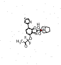 CC(=O)C(F)(F)Oc1ccc(-c2cscn2)c2oc(N3CC4CCC(C3)N4C(=O)O)nc12